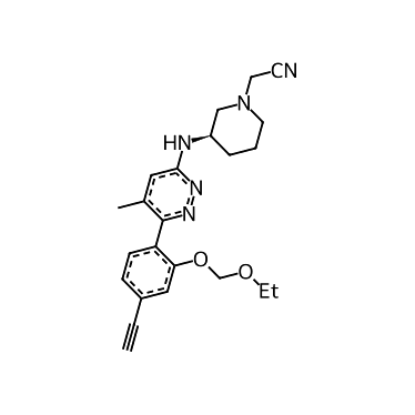 C#Cc1ccc(-c2nnc(N[C@@H]3CCCN(CC#N)C3)cc2C)c(OCOCC)c1